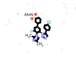 CNS(=O)(=O)c1cccc(-c2cc(F)c(-n3cc(C)nc3C)c(-n3nncc3-c3ccc(Cl)cc3)c2)c1